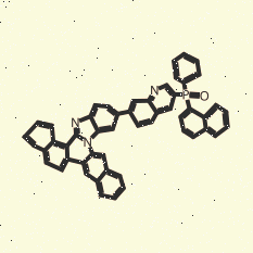 O=P(c1ccccc1)(c1cnc2cc(-c3ccc4nc5c6c7ccccc7ccc6c6cc7ccccc7cc6n5c4c3)ccc2c1)c1cccc2ccccc12